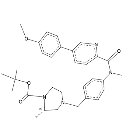 COc1ccc(-c2ccc(C(=O)N(C)c3ccc(CN4CCN(C(=O)OC(C)(C)C)[C@@H](C)C4)cc3)nc2)cc1